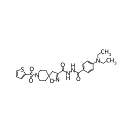 CCN(CC)c1ccc(C(=O)NNC(=O)C2=NOC3(CCN(S(=O)(=O)c4cccs4)CC3)C2)cc1